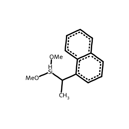 CO[SiH](OC)C(C)c1cccc2ccccc12